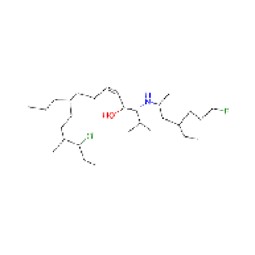 CCCC(CC/C=C\C(O)[C@H](NC(C)CC(CC)CCCF)C(C)C)CCC(C)C(Cl)CC